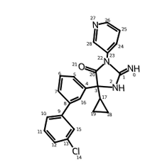 N=C1NC(c2cccc(-c3cccc(Cl)c3)c2)(C2CC2)C(=O)N1c1cccnc1